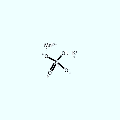 O=P([O-])([O-])[O-].[K+].[Mn+2]